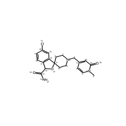 Cn1ccc(CN2CCC3(CC2)OC(C(N)=O)c2ccc(Cl)cc23)cc1=O